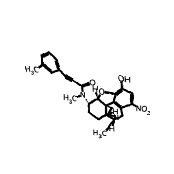 Cc1cccc(C#CC(=O)N(C)[C@H]2CC[C@H]3[C@H]4Cc5c([N+](=O)[O-])cc(O)c6c5[C@@]3(CCN4C)[C@H]2O6)c1